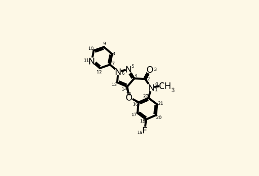 CN1C(=O)c2nn(-c3cccnc3)cc2Oc2cc(F)ccc21